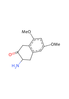 COc1cc2c(c(OC)c1)CC(=O)C(N)C2